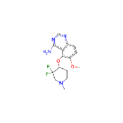 COc1ccc2ncnc(N)c2c1OC1CCN(C)CC1(F)F